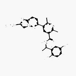 CC(=O)Nc1cn2nc(-c3cc(C(=O)NC(C)c4cc(C(F)(F)F)ccc4F)c(C)nc3C)ccc2n1